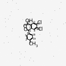 Cc1ccc(C(=O)c2cc(Cl)c(Cl)cc2C(=O)O)cc1